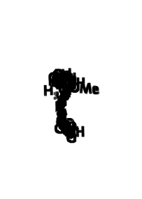 COc1cc(N2CCC(N3CCN(C[C@H]4CCN(c5ccc6c(c5)C(=O)N(C5CCC(=O)NC5=O)C6=O)C4)CC3)CC2)c(C)cc1Nc1ncc(Br)c(Nc2cccc3ccn(S(C)(=O)=O)c23)n1